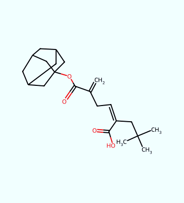 C=C(CC=C(CC(C)(C)C)C(=O)O)C(=O)OC12CC3CC(CC(C3)C1)C2